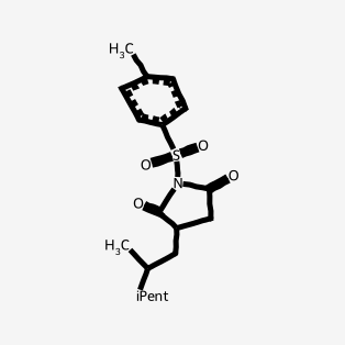 CCCC(C)C(C)CC1CC(=O)N(S(=O)(=O)c2ccc(C)cc2)C1=O